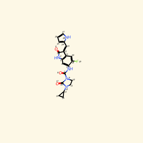 O=C1Nc2cc(NC(=O)N3CCN(C4CC4)C3=O)c(F)cc2C1=Cc1ccc[nH]1